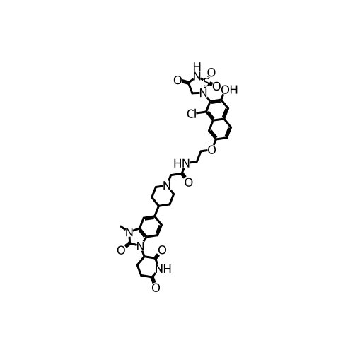 Cn1c(=O)n(C2CCC(=O)NC2=O)c2ccc(C3CCN(CC(=O)NCCOc4ccc5cc(O)c(N6CC(=O)NS6(=O)=O)c(Cl)c5c4)CC3)cc21